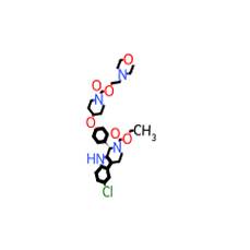 CCOC(=O)N1CCc2c([nH]c3ccc(Cl)cc23)[C@@H]1c1ccc(OC2CCN(C(=O)OCCN3CCOCC3)CC2)cc1